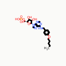 CCCCCOc1ccc(CNc2ncnc3c2ncn3[C@@H]2O[C@H](COP(=O)(O)O)[C@@H](O)[C@H]2O)cc1